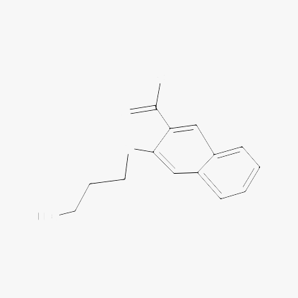 CCCCOc1cc2ccccc2cc1C([O])=O